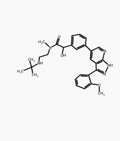 COc1ccccc1-c1n[nH]c2ncc(-c3cccc(C(O)C(=O)N(C)CCNC(C)(C)C)c3)cc12